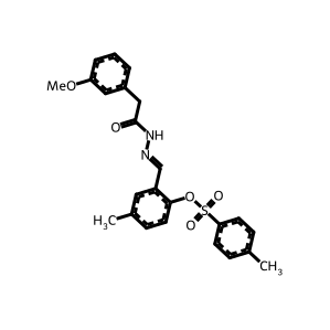 COc1cccc(CC(=O)N/N=C/c2cc(C)ccc2OS(=O)(=O)c2ccc(C)cc2)c1